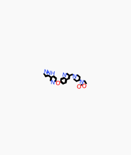 O=C1OCCN1C1CCN(Cc2cnc3cc(Oc4ccc(-c5ccn[nH]5)cn4)ccc3c2)CC1